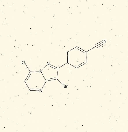 N#Cc1ccc(-c2nn3c(Cl)ccnc3c2Br)cc1